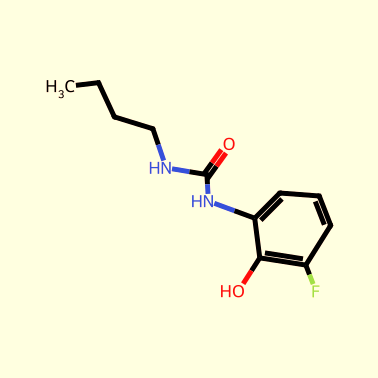 CCCCNC(=O)Nc1cccc(F)c1O